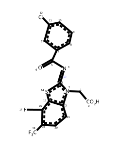 O=C(O)Cn1/c(=N/C(=O)c2cccc(Cl)c2)sc2c(F)c(C(F)(F)F)ccc21